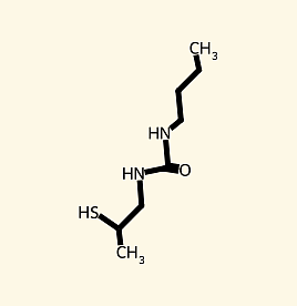 CCCCNC(=O)NCC(C)S